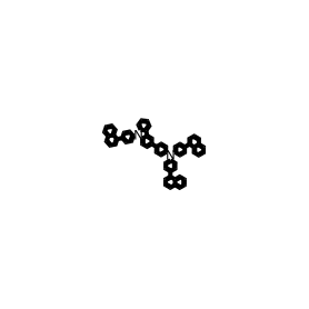 c1ccc2c(-c3ccc(N(c4ccc(-c5ccc6c(c5)c5ccccc5n6-c5ccc(-c6cccc7ccccc67)cc5)cc4)c4ccc(-c5cccc6ccccc56)cc4)cc3)cccc2c1